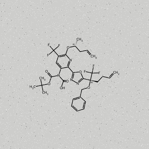 C=CCC[C@@](OCc1ccccc1)(c1nnc(-c2nc(O[C@H](C)CC=C)c(C(F)(F)F)cc2N(C(=O)O)C(=O)OC(C)(C)C)o1)C(F)(F)F